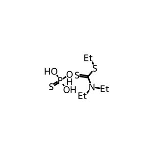 CCSC(=S)N(CC)CC.OP(O)(O)=S